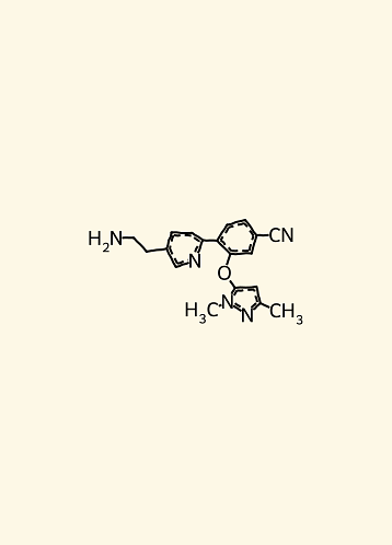 Cc1cc(Oc2cc(C#N)ccc2-c2ccc(CCN)cn2)n(C)n1